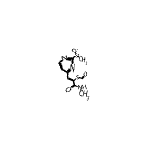 CNC(=O)/C(=C/c1ccnc([S+](C)[O-])n1)SC=O